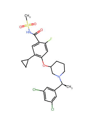 C[C@@H](c1cc(Cl)cc(Cl)c1)N1CCCC(Oc2cc(F)c(C(=O)NS(C)(=O)=O)cc2C2CC2)C1